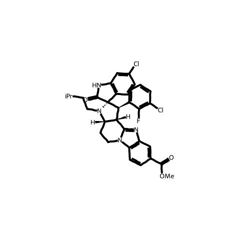 COC(=O)c1ccc2c(c1)nc1n2CC[C@H]2[C@@H]1[C@H](c1cccc(Cl)c1F)[C@]1(C(=O)Nc3cc(Cl)ccc31)N2CCC(C)C